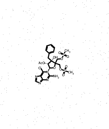 CC(=O)O[C@H]1[C@H](n2c(N)nc3ncnc-3c2Cl)OC(COS(C)(=O)=O)(COS(C)(=O)=O)[C@]1(O)Cc1ccccc1